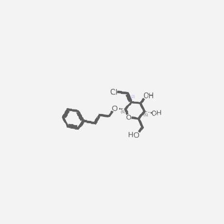 OCC1O[C@H](OCCCc2ccccc2)/C(=C\Cl)C(O)[C@@H]1O